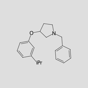 CC(C)c1cccc(OC2CCN(Cc3ccccc3)C2)c1